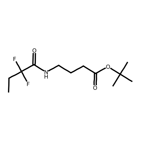 CCC(F)(F)C(=O)NCCCC(=O)OC(C)(C)C